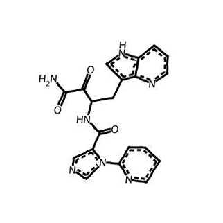 NC(=O)C(=O)C(Cc1c[nH]c2cccnc12)NC(=O)c1cncn1-c1ccccn1